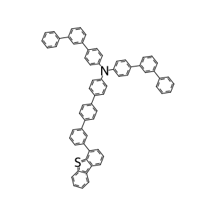 c1ccc(-c2cccc(-c3ccc(N(c4ccc(-c5ccc(-c6cccc(-c7cccc8c7sc7ccccc78)c6)cc5)cc4)c4ccc(-c5cccc(-c6ccccc6)c5)cc4)cc3)c2)cc1